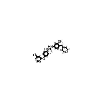 O=C(Nc1ccc(Oc2cc(Cl)ncn2)cc1)Nc1ccc(CN2CCOCC2)c(C(F)(F)F)c1